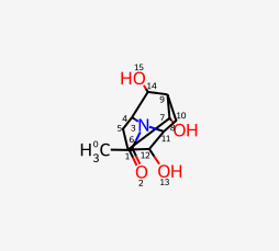 CC(=O)N1C2CC3C(O)C(CC1C3O)C2O